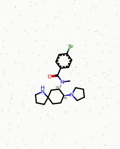 CN(C(=O)c1ccc(Br)cc1)[C@H]1CC2(CCCN2)CC[C@@H]1N1CCCC1